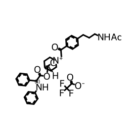 CC(=O)NCCCc1ccc(C(=O)C[N+]23CCC(CC2)[C@@H](OC(=O)[C@H](Nc2ccccc2)c2ccccc2)C3)cc1.O=C([O-])C(F)(F)F